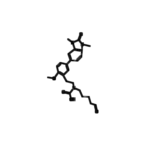 COc1ccc(-c2ccc3c(c2)n(C)c(=O)n3C)cc1CCN(CCCCC=O)C(=O)O